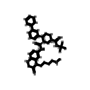 COCCCCN1C(=O)COc2ccc(NC(=O)[C@H]3CN(C(=O)OC(C)(C)C)CC[C@@H]3c3cccc(-c4ccccc4)c3)cc21